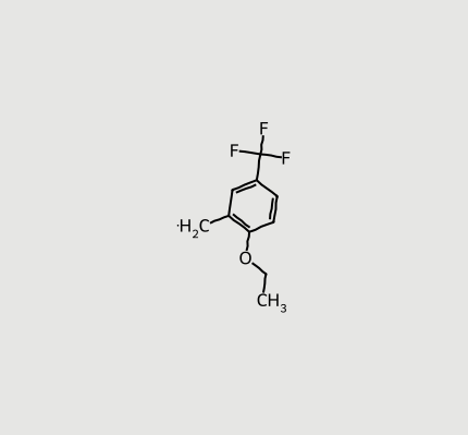 [CH2]c1cc(C(F)(F)F)ccc1OCC